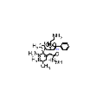 CC(C)C[C@@H](C(=O)NN)[C@@H](C(=O)NO)C(/C=C/c1ccccc1)(CC(C)C)S(=O)(=O)CCN